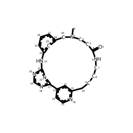 CN1CCC(=O)NCCCCc2cc(ccn2)-c2ncnc(n2)Nc2cccc(c2)C1